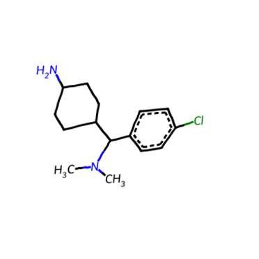 CN(C)C(c1ccc(Cl)cc1)C1CCC(N)CC1